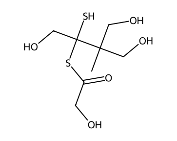 CC(CO)(CO)C(S)(CO)SC(=O)CO